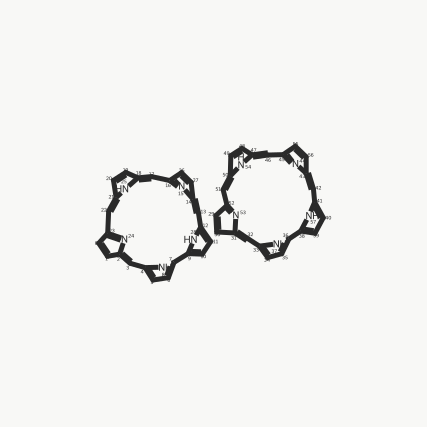 C1=Cc2cc3ccc([nH]3)c3ccc(cc4nc(cc5ccc(cc1n2)[nH]5)C=C4)[nH]3.C1=Cc2cc3ccc([nH]3)c3ccc(cc4nc(cc5ccc(cc1n2)[nH]5)C=C4)[nH]3